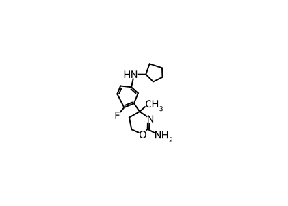 CC1(c2cc(NC3CCCC3)ccc2F)CCOC(N)=N1